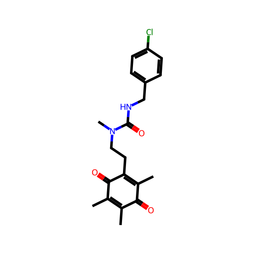 CC1=C(C)C(=O)C(CCN(C)C(=O)NCc2ccc(Cl)cc2)=C(C)C1=O